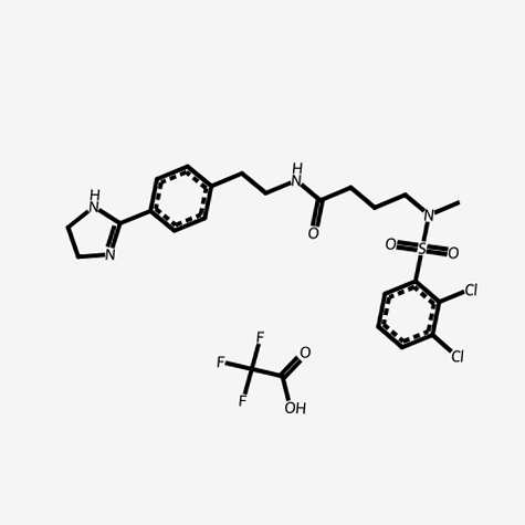 CN(CCCC(=O)NCCc1ccc(C2=NCCN2)cc1)S(=O)(=O)c1cccc(Cl)c1Cl.O=C(O)C(F)(F)F